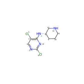 Clc1ncc(Cl)c(N[C@H]2CCCNC2)n1